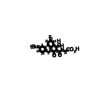 CC(C)(C)c1ccc(Cn2c(=O)c(C(=O)NCC(=O)O)c(O)c3cc(F)ccc32)cc1